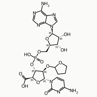 Nc1ccn([C@@H]2O[C@@H](C(=O)O)[C@H](OP(=O)(O)OC[C@H]3O[C@@H](n4cnc5c(N)ncnc54)[C@H](O)[C@@H]3O)[C@H]2OC2CCCO2)c(=O)n1